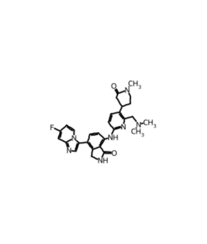 CN(C)Cc1nc(Nc2ccc(-c3cnc4cc(F)ccn34)c3c2C(=O)NC3)ccc1C1CCN(C)C(=O)C1